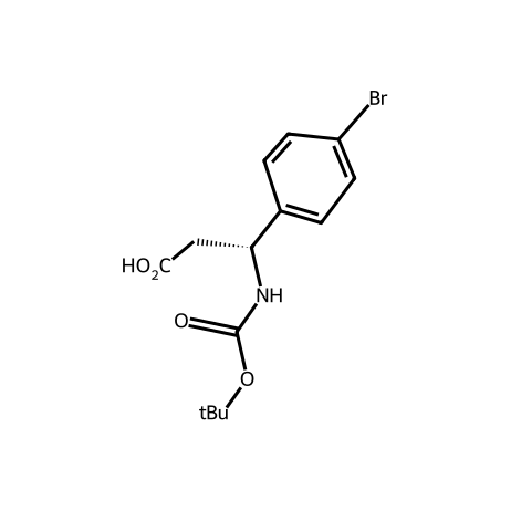 CC(C)(C)OC(=O)N[C@H](CC(=O)O)c1ccc(Br)cc1